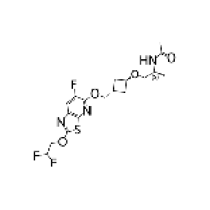 CC(=O)N[C@@H](C)CO[C@H]1C[C@H](COc2nc3sc(OCC(F)F)nc3cc2F)C1